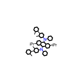 Cc1ccccc1-c1ccc(N(c2ccccc2)c2c3ccc(C(C)C)cc3c(N(c3ccccc3)c3ccc(-c4ccccc4C)c(C)c3)c3ccc(C(C)C)cc23)cc1C